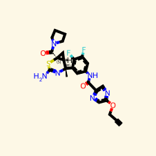 C#CCOc1cnc(C(=O)Nc2cc(F)c(F)c([C@]3(C)N=C(N)S[C@@]4(C(=O)N5CCCC5)C[C@@H]34)c2)cn1